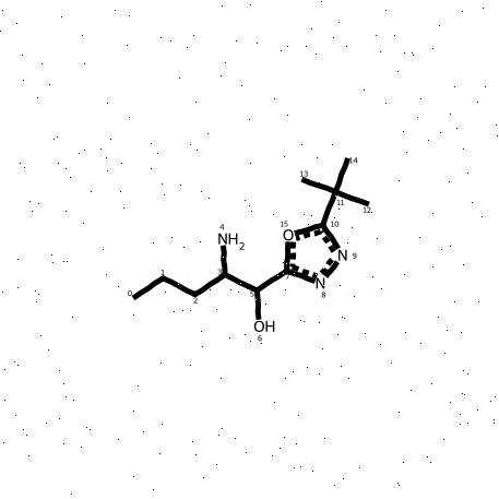 CCCC(N)C(O)c1nnc(C(C)(C)C)o1